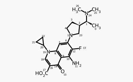 C[C@@H]([C@@H]1CCN(c2cc3c(c(N)c2F)c(=O)c(C(=O)O)cn3C2CC2)C1)N(C)C